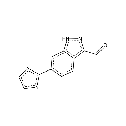 O=Cc1n[nH]c2cc(-c3nccs3)ccc12